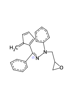 C=C1C=CC=C1/C(=N\N(CC1CO1)c1ccccc1)c1ccccc1